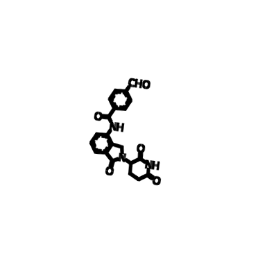 O=Cc1ccc(C(=O)Nc2cccc3c2CN(C2CCC(=O)NC2=O)C3=O)cc1